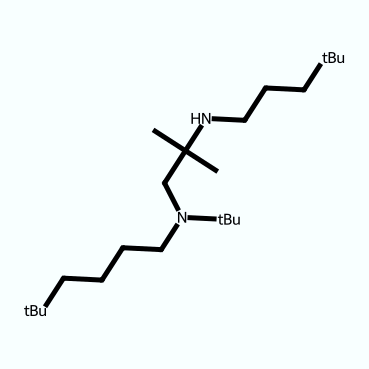 CC(C)(C)CCCCN(CC(C)(C)NCCCC(C)(C)C)C(C)(C)C